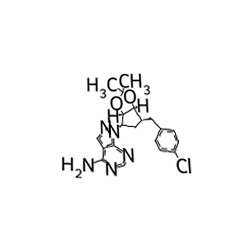 CC1(C)O[C@@H]2[C@@H](Cc3ccc(Cl)cc3)C[C@@H](n3ncc4c(N)ncnc43)[C@@H]2O1